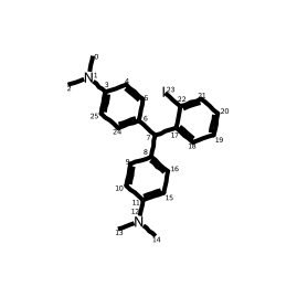 CN(C)c1ccc(C(c2ccc(N(C)C)cc2)c2ccccc2I)cc1